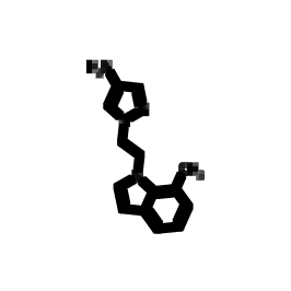 Cc1cccc2ccn(CCn3cc(N)cn3)c12